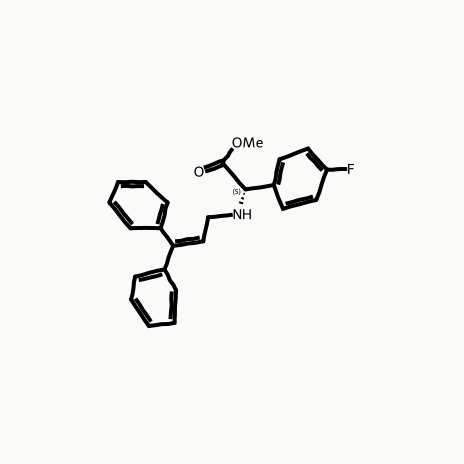 COC(=O)[C@@H](NCC=C(c1ccccc1)c1ccccc1)c1ccc(F)cc1